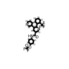 O=C(Nc1ccc(OC(F)(F)Cl)cc1)c1cnc(-c2ccccc2C(F)(F)F)c(-c2cccnc2)c1